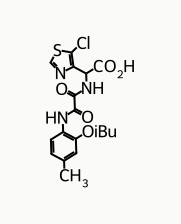 Cc1ccc(NC(=O)C(=O)NC(C(=O)O)c2ncsc2Cl)c(OCC(C)C)c1